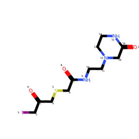 O=C(CI)CSCC(=O)NCCN1CCNC(=O)C1